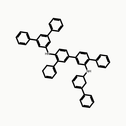 C1=CCCC(c2cc(-c3ccc(-c4ccccc4)c(NC4C=CC=C(c5ccccc5)C4)c3)ccc2Nc2cc(-c3ccccc3)cc(-c3ccccc3)c2)=C1